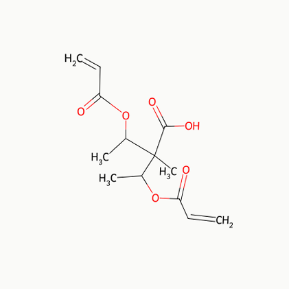 C=CC(=O)OC(C)C(C)(C(=O)O)C(C)OC(=O)C=C